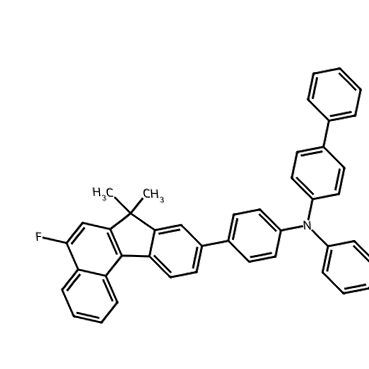 CC1(C)c2cc(-c3ccc(N(c4ccccc4)c4ccc(-c5ccccc5)cc4)cc3)ccc2-c2c1cc(F)c1ccccc21